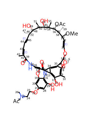 CO[C@H]1/C=C/O[C@@]2(C)Oc3c(C)c(O)c4c(=O)c(c5oc6cc(OCCN(C)C(C)=O)cc(O)c6nc-5c4c3C2=O)NC(=O)/C(C)=C\C=C\[C@H](C)[C@H](O)[C@@H](C)[C@@H](O)[C@@H](C)[C@H](OC(C)=O)[C@@H]1C